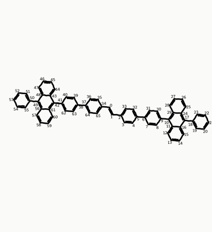 C(=Cc1ccc(-c2ccc(-c3c4ccccc4c(-c4ccccc4)c4ccccc34)cc2)cc1)c1ccc(-c2ccc(-c3c4ccccc4c(-c4ccccc4)c4ccccc34)cc2)cc1